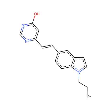 CC(C)CCn1ccc2cc(/C=C/c3cc(O)ncn3)ccc21